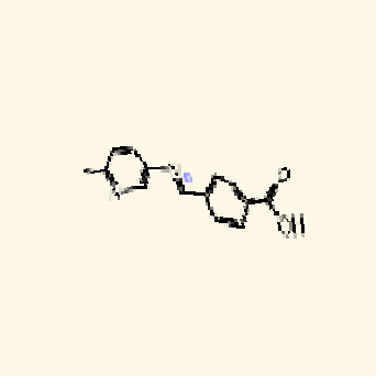 Cc1ccc(/N=C/c2ccc(C(=O)O)cc2)cn1